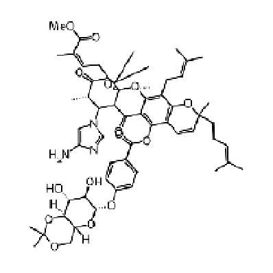 COC(=O)/C(C)=C\CC12OC(C)(C)[C@@H](C)C13Oc1c(CC=C(C)C)c4c(c(OC(=O)c5ccc(O[C@@H]6O[C@@H]7COC(C)(C)O[C@H]7[C@H](O)[C@H]6O)cc5)c1C(=O)C3C(n1cnc(N)c1)[C@H](C)C2=O)C=CC(C)(CCC=C(C)C)O4